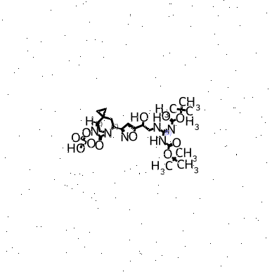 CC(C)(C)OC(=O)/N=C(\NCC(O)c1cc([C@@H]2CC3(CC3)[C@@H]3CN2C(=O)N3OS(=O)(=O)O)no1)NC(=O)OC(C)(C)C